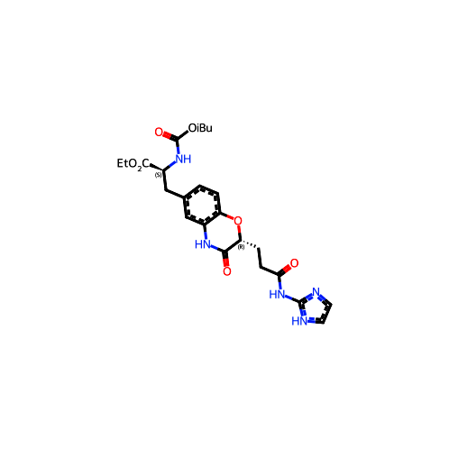 CCOC(=O)[C@H](Cc1ccc2c(c1)NC(=O)[C@@H](CCC(=O)Nc1ncc[nH]1)O2)NC(=O)OCC(C)C